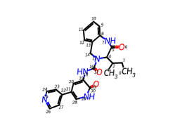 CCC(C)C1C(=O)Nc2ccccc2CN1C(=O)Nc1cc(-c2ccncc2)c[nH]c1=O